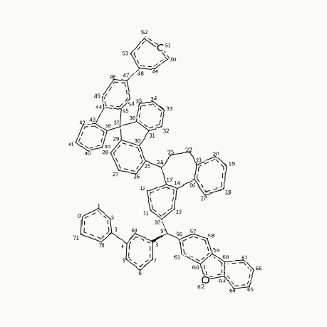 c1ccc(-c2cccc([C@@H](c3ccc4c(c3)-c3ccccc3CCC4c3cccc4c3-c3ccccc3C43c4ccccc4-c4ccc(-c5ccccc5)cc43)c3ccc4c(c3)oc3ccccc34)c2)cc1